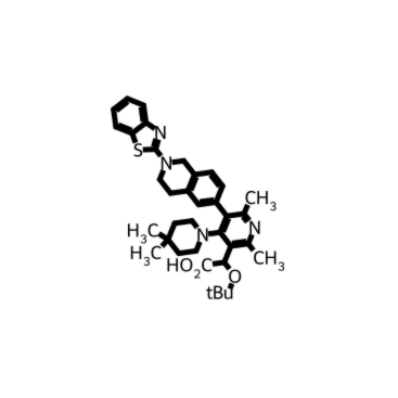 Cc1nc(C)c(C(OC(C)(C)C)C(=O)O)c(N2CCC(C)(C)CC2)c1-c1ccc2c(c1)CCN(c1nc3ccccc3s1)C2